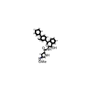 CO/N=C1\CN[C@H](C(=O)NC[C@@H](O)c2ccccc2C(=O)c2ccc(-c3ccccc3)c(C)c2)C1